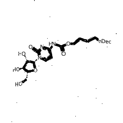 CCCCCCCCCCCCCCOC(=O)Nc1ccn([C@@H]2O[C@H](CO)[C@@H](O)[C@@H]2O)c(=O)n1